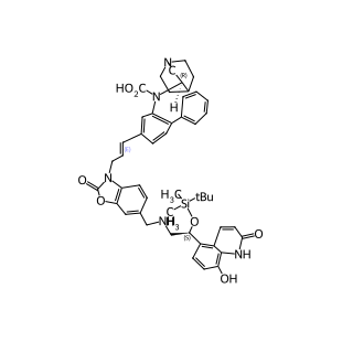 CC(C)(C)[Si](C)(C)O[C@H](CNCc1ccc2c(c1)oc(=O)n2C/C=C/c1ccc(-c2ccccc2)c(N(C(=O)O)[C@H]2CN3CCC2CC3)c1)c1ccc(O)c2[nH]c(=O)ccc12